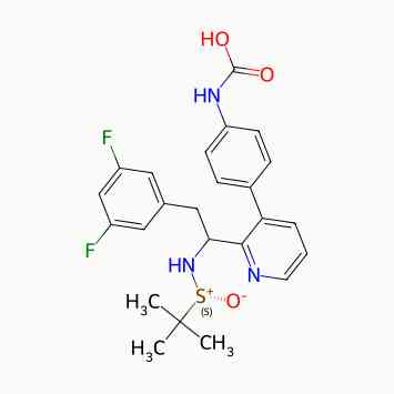 CC(C)(C)[S@@+]([O-])NC(Cc1cc(F)cc(F)c1)c1ncccc1-c1ccc(NC(=O)O)cc1